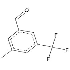 Cc1cc(C=O)cc(C(F)(F)F)c1